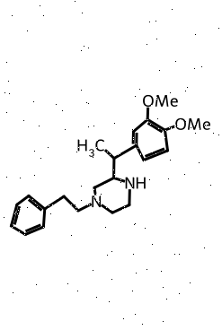 COc1ccc(C(C)C2CN(CCc3ccccc3)CCN2)cc1OC